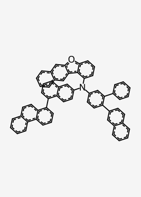 c1ccc(-c2cc(N(c3ccc4c(-c5cccc6c5ccc5ccccc56)cccc4c3)c3cccc4oc5cc6ccccc6cc5c34)ccc2-c2ccc3ccccc3c2)cc1